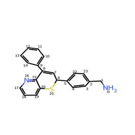 NCc1ccc(C2C=C(c3ccccc3)c3ncccc3S2)cc1